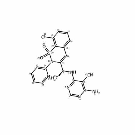 C[C@H](Nc1ncnc(N)c1C#N)C1=Cc2cccc(Cl)c2S(=O)(=O)N1c1ccccn1